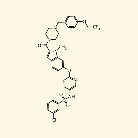 Cn1c(C(=O)N2CCN(Cc3ccc(OCC(F)(F)F)cc3)CC2)cc2ccc(Oc3ccc(NS(=O)(=O)c4cccc(Cl)c4)cn3)cc21